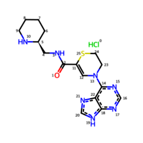 Cl.O=C(NC[C@@H]1CCCCN1)C1=CN(c2ncnc3[nH]cnc23)CCS1